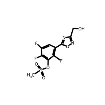 CS(=O)(=O)Oc1c(F)c(F)cc(-c2nc(CO)no2)c1F